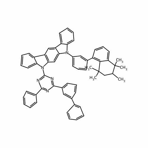 CC1CC(C)(C)c2c(-c3cccc(-n4c5ccccc5c5cc6c7ccccc7n(-c7nc(-c8ccccc8)nc(-c8cccc(-c9ccccc9)c8)n7)c6cc54)c3)cccc2C1(C)C